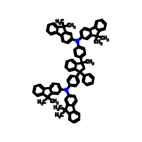 CC1(C)c2ccccc2-c2ccc(N(c3ccc(C4(C)CC(c5ccccc5)(c5ccc(N(c6ccc7c(c6)C(C)(C)c6ccccc6-7)c6ccc7c(c6)C(C)(C)c6ccccc6-7)cc5)c5ccccc54)cc3)c3ccc4c(c3)C(C)(C)c3ccccc3-4)cc21